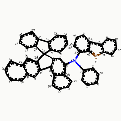 c1ccc(N(c2cc3c(c4ccccc24)-c2cc4ccccc4cc2C32c3ccccc3-c3ccccc32)c2cccc3c2sc2ccccc23)cc1